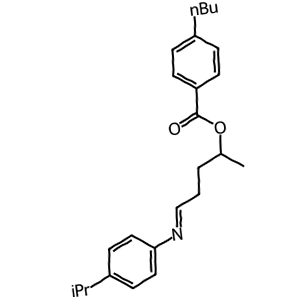 CCCCc1ccc(C(=O)OC(C)CCC=Nc2ccc(C(C)C)cc2)cc1